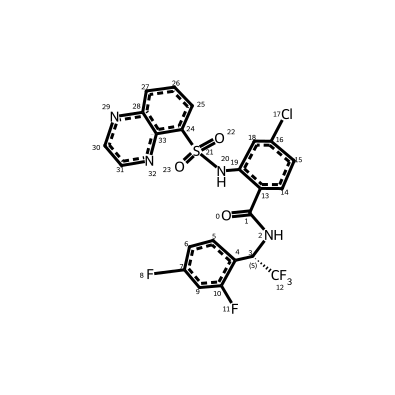 O=C(N[C@@H](c1ccc(F)cc1F)C(F)(F)F)c1ccc(Cl)cc1NS(=O)(=O)c1cccc2nccnc12